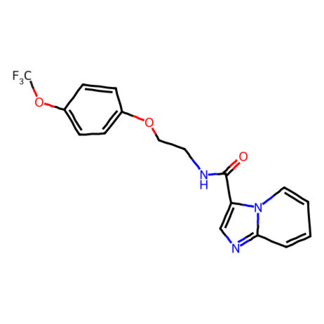 O=C(NCCOc1ccc(OC(F)(F)F)cc1)c1cnc2ccccn12